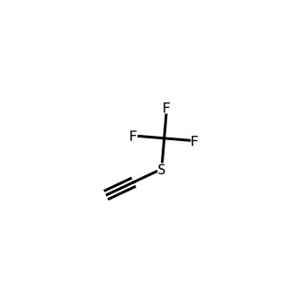 C#CSC(F)(F)F